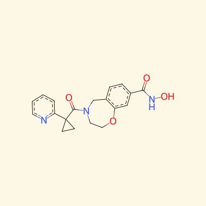 O=C(NO)c1ccc2c(c1)OCCN(C(=O)C1(c3ccccn3)CC1)C2